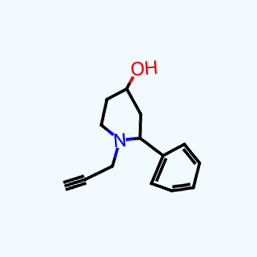 C#CCN1CCC(O)CC1c1ccccc1